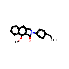 CCOc1c2c(cc3ccccc13)CN(c1ccc(CC(=O)O)cc1)C2=O